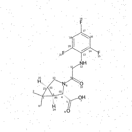 CC1(C)[C@@H]2[C@@H](C(=O)O)N(C(=O)CNc3c(F)cc(F)cc3F)C[C@@H]21